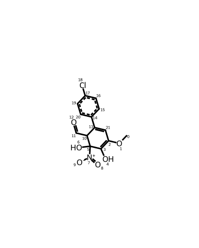 COC1=C(O)C(O)([N+](=O)[O-])C(C=O)C(c2ccc(Cl)cc2)=C1